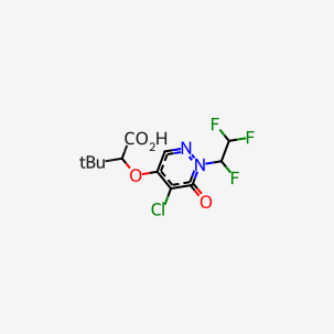 CC(C)(C)C(Oc1cnn(C(F)C(F)F)c(=O)c1Cl)C(=O)O